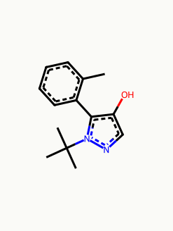 Cc1ccccc1-c1c(O)cnn1C(C)(C)C